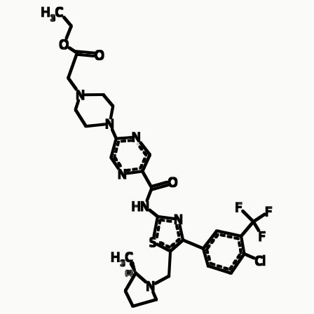 CCOC(=O)CN1CCN(c2cnc(C(=O)Nc3nc(-c4ccc(Cl)c(C(F)(F)F)c4)c(CN4CCC[C@H]4C)s3)cn2)CC1